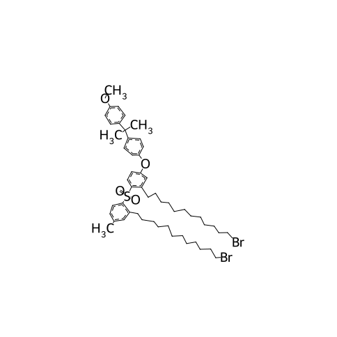 COc1ccc(C(C)(C)c2ccc(Oc3ccc(S(=O)(=O)c4ccc(C)cc4CCCCCCCCCCCCBr)c(CCCCCCCCCCCCBr)c3)cc2)cc1